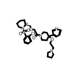 O=C(COC[C@@H]1CCCCN1S(=O)(=O)c1ccccc1C(F)(F)F)N1CCC(OCCN2CCCC2)(c2cccnc2)CC1